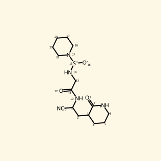 N#CC(CC1CCCNC1=O)NC(=O)CN[S+]([O-])N1CCCCC1